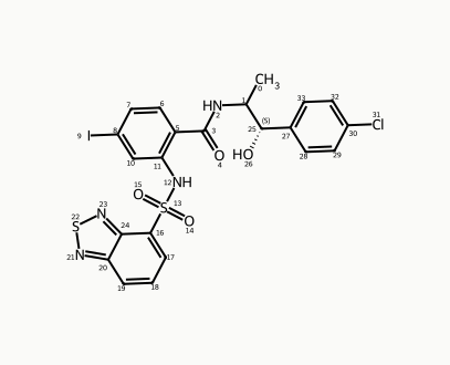 CC(NC(=O)c1ccc(I)cc1NS(=O)(=O)c1cccc2nsnc12)[C@@H](O)c1ccc(Cl)cc1